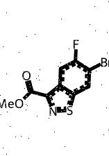 COC(=O)c1nsc2cc(Br)c(F)cc12